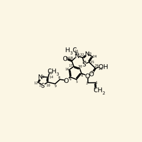 C=CCOc1cc(OCCc2scnc2C)cc(C(=O)N(C)c2ncc(C(=O)O)s2)c1